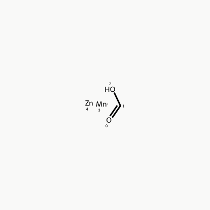 O=CO.[Mn].[Zn]